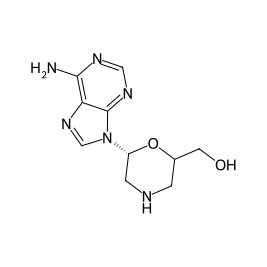 Nc1ncnc2c1ncn2[C@H]1CNCC(CO)O1